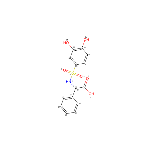 O=C(O)[C@@H](NS(=O)(=O)c1ccc(O)c(O)c1)c1ccccc1